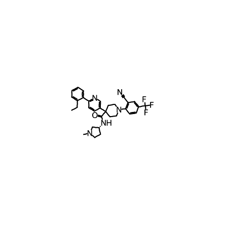 CCc1ccccc1-c1ccc(C2(C(=O)N[C@@H]3CCN(C)C3)CCN(c3ccc(C(F)(F)F)cc3C#N)CC2)cn1